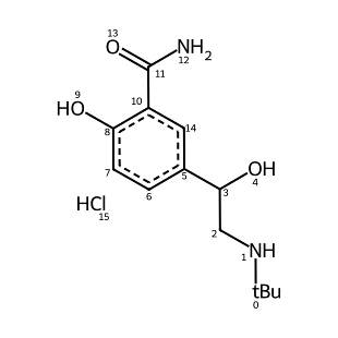 CC(C)(C)NCC(O)c1ccc(O)c(C(N)=O)c1.Cl